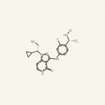 CCN[C@@H](c1ccc(Nc2nn([C@@H](CC#N)C3CC3)c3cc[nH]c(=O)c23)cc1F)C(F)(F)F